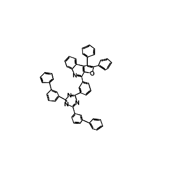 c1ccc(-c2cccc(-c3nc(-c4cccc(-c5ccccc5)c4)nc(-c4cccc(-c5nc6ccccc6c6c(-c7ccccc7)c(-c7ccccc7)oc56)c4)n3)c2)cc1